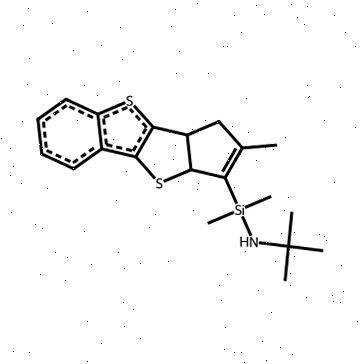 CC1=C([Si](C)(C)NC(C)(C)C)C2Sc3c(sc4ccccc34)C2C1